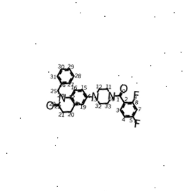 O=C(c1ccc(F)cc1F)N1CCN(c2ccc3c(c2)CCC(=O)N3Cc2ccccc2)CC1